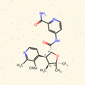 COc1c([C@H]2[C@H](C(=O)Nc3ccnc(C(N)=O)c3)O[C@](C)(C(F)(F)F)[C@H]2C)ccnc1C